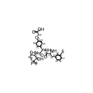 CC(C)C(NC(=O)C(NC(=O)C(N)Cc1cccc(F)c1)c1ccc(OCC(=O)O)cc1)C(O)C(F)(F)F